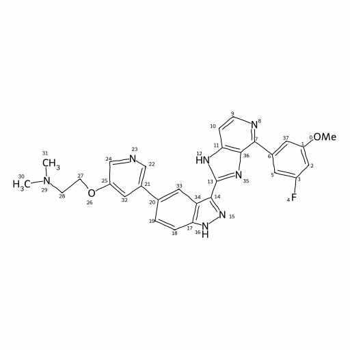 COc1cc(F)cc(-c2nccc3[nH]c(-c4n[nH]c5ccc(-c6cncc(OCCN(C)C)c6)cc45)nc23)c1